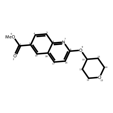 COC(=O)c1ccc2nc(OC3CCOCC3)ccc2c1